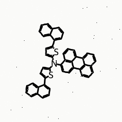 c1ccc2c(-c3ccc(N(c4ccc(-c5cccc6ccccc56)s4)c4ccc5c6cccc7cccc(c8cccc4c85)c76)s3)cccc2c1